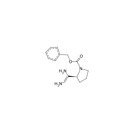 N/C=C(\N)[C@@H]1CCCN1C(=O)OCc1ccccc1